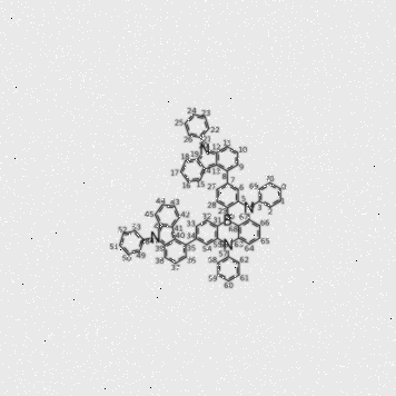 c1ccc(N2c3cc(-c4cccc5c4c4ccccc4n5-c4ccccc4)ccc3B3c4ccc(-c5cccc6c5c5ccccc5n6-c5ccccc5)cc4N(c4ccccc4)c4cccc2c43)cc1